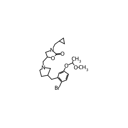 COC(C)Oc1ccc(Br)c(CC2CCN(CC3CN(CC4CC4)C(=O)O3)C2)c1